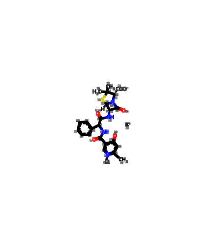 CCn1cc(C(=O)NC(C(=O)N[C@@H]2C(=O)N3[C@@H]2SC(C)(C)[C@@H]3C(=O)[O-])c2ccccc2)c(=O)cc1C.[K+]